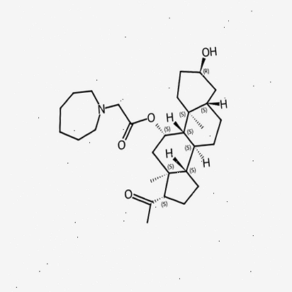 CC(=O)[C@H]1CC[C@H]2[C@@H]3CC[C@H]4C[C@H](O)CC[C@]4(C)[C@H]3[C@@H](OC(=O)CN3CCCCCC3)C[C@]12C